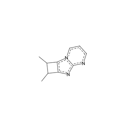 CC1c2nc3ncccn3c2C1C